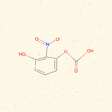 O=C(O)Oc1cccc(O)c1[N+](=O)[O-]